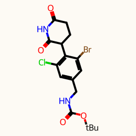 CC(C)(C)OC(=O)NCc1cc(Cl)c(C2CCC(=O)NC2=O)c(Br)c1